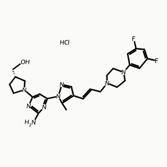 Cc1c(/C=C/CN2CCN(c3cc(F)cc(F)c3)CC2)cnn1-c1cc(N2CC[C@H](CO)C2)nc(N)n1.Cl